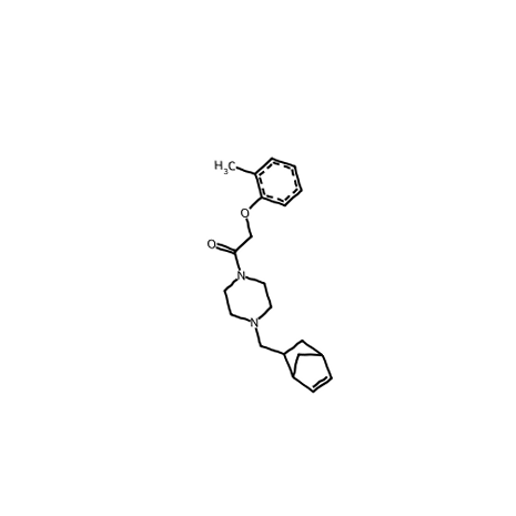 Cc1ccccc1OCC(=O)N1CCN(CC2CC3C=CC2C3)CC1